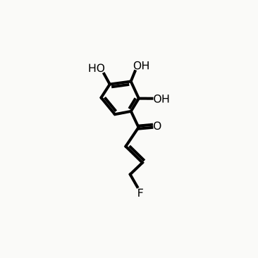 O=C(/C=C/CF)c1ccc(O)c(O)c1O